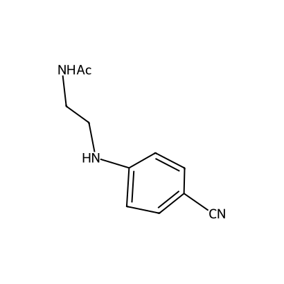 CC(=O)NCCNc1ccc(C#N)cc1